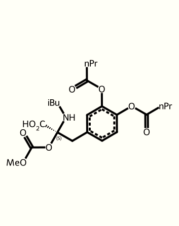 CCCC(=O)Oc1ccc(C[C@](NC(C)CC)(OC(=O)OC)C(=O)O)cc1OC(=O)CCC